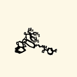 CC(C)(C)C(=O)OCC1(N2CCN(CCNC(=O)c3ccc(F)cc3)CC2)COc2ccccc2O1